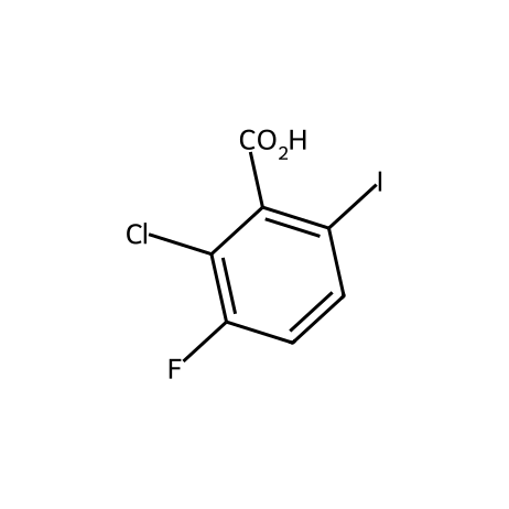 O=C(O)c1c(I)ccc(F)c1Cl